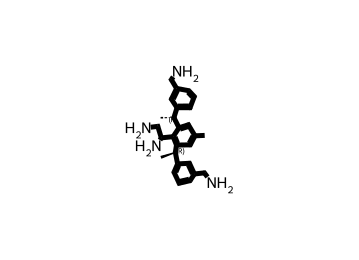 Cc1cc([C@H](C)c2cccc(CN)c2)c(C(N)CN)c([C@H](C)c2cccc(CN)c2)c1